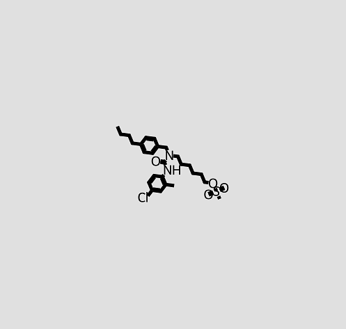 CCCCc1ccc(CN(CCCCCCOS(C)(=O)=O)C(=O)Nc2ccc(Cl)cc2C)cc1